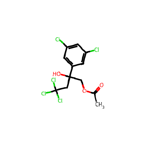 CC(=O)OCC(O)(CC(Cl)(Cl)Cl)c1cc(Cl)cc(Cl)c1